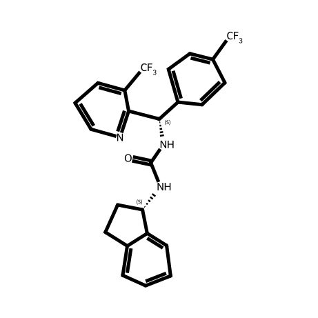 O=C(N[C@@H](c1ccc(C(F)(F)F)cc1)c1ncccc1C(F)(F)F)N[C@H]1CCc2ccccc21